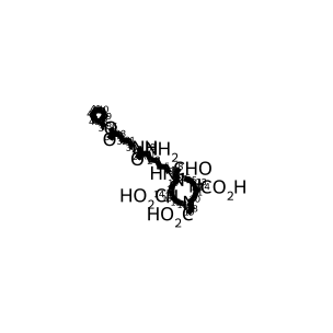 N[C@H](CCCCNC(C=O)N1CCN(CC(=O)O)CCN(CC(=O)O)CCN(CC(=O)O)CC1)C(=O)NCCCCC(=O)OCc1ccccc1